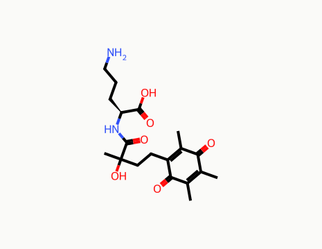 CC1=C(C)C(=O)C(CCC(C)(O)C(=O)N[C@@H](CCCN)C(=O)O)=C(C)C1=O